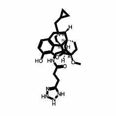 CO[C@]12CC[C@@]3(C[C@@H]1CNC(=O)CCC1=NNNN1)[C@H]1Cc4ccc(O)c5c4[C@@]3(CCN1CC1CC1)[C@H]2O5